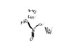 Cl.O=[N+]([O-])O.[Na+].[OH-]